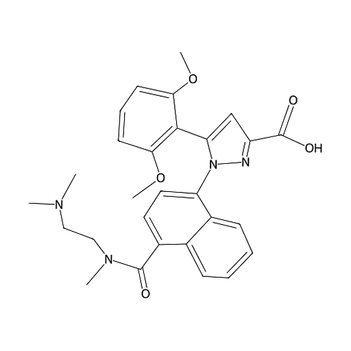 COc1cccc(OC)c1-c1cc(C(=O)O)nn1-c1ccc(C(=O)N(C)CCN(C)C)c2ccccc12